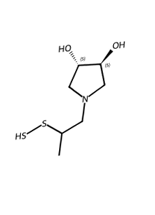 CC(CN1C[C@H](O)[C@@H](O)C1)SS